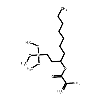 C=C(C)C(=O)OC(CCCCCCC)CC[Si](OC)(OC)OC